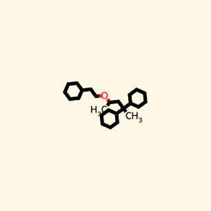 CC(CC(C)(C1CCCCC1)C1CCCCC1)OCCC1CCCCC1